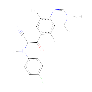 CCN(C)/C=N\c1cc(C)c(C(=O)C(C#N)N(C)c2ccc(Cl)cc2)cc1C